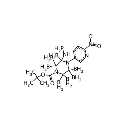 BC1(B)N(C(=O)OC(C)(C)C)C(B)(B)C(B)(NP)N(c2ccc([N+](=O)[O-])nc2)C1(B)B